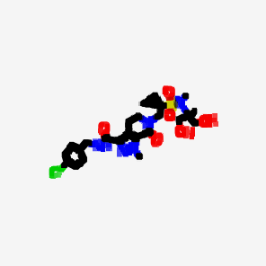 CN(C(C)(CO)CO)S(=O)(=O)C1(CN2CCc3c(C(=O)NCc4ccc(Cl)cc4)nn(C)c3C2=O)CC1